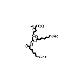 CCCCCCCCCCCCCCCC(=O)OCC(COCCC(C(=O)[O-])[N+](C)(C)C)OC(=O)CCCCCCCCCCCCCCC